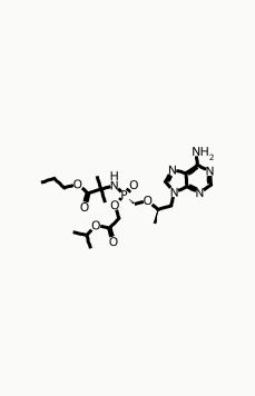 CCCOC(=O)C(C)(C)N[P@](=O)(CO[C@H](C)Cn1cnc2c(N)ncnc21)OCC(=O)OC(C)C